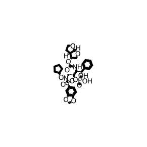 O=C(N[C@@H](Cc1ccccc1)[C@@H](CN(OC1CCCC1)S(=O)(=O)c1ccc2c(c1)OCO2)OP(=O)(O)O)OC1CO[C@H]2OCC[C@@H]12